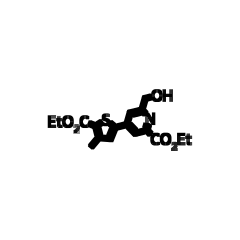 CCOC(=O)c1cc(-c2cc(C)c(C(=O)OCC)s2)cc(CO)n1